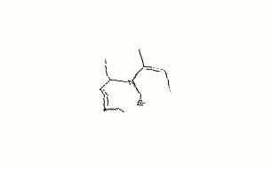 C/C=C\C(C)N(Br)/C(C)=C\C